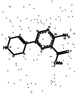 COC(=O)c1nc(C2=CCNCC2)cnc1N